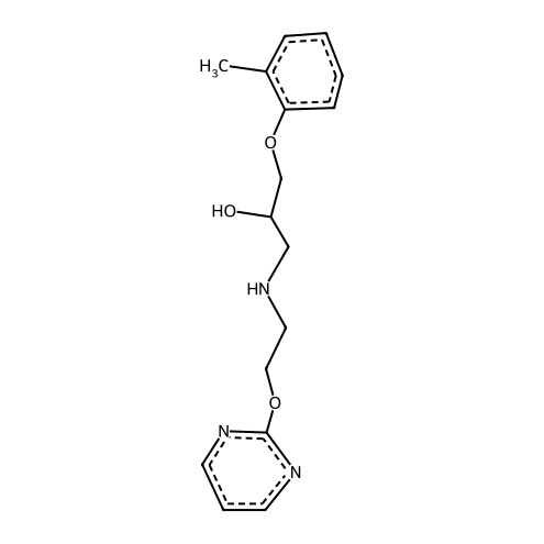 Cc1ccccc1OCC(O)CNCCOc1ncccn1